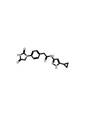 O=C1CN(c2ccc(CC(=O)Nc3cc(C4CC4)[nH]n3)cc2)C(=O)N1